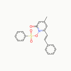 Cc1cc(C=Cc2ccccc2)n(OS(=O)(=O)c2ccccc2)c(=O)c1